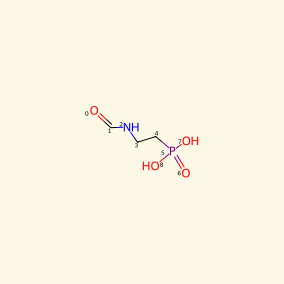 O=CNCCP(=O)(O)O